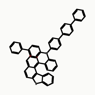 c1ccc(-c2ccc(-c3ccc(N(c4ccc(-c5ccccc5)cc4)c4ccccc4-c4cccc5ccc6sc7ccccc7c6c45)cc3)cc2)cc1